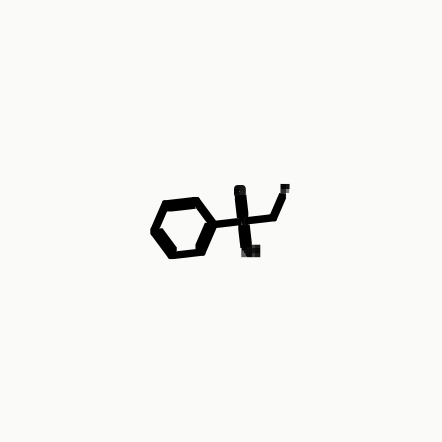 N=S(=O)(CF)c1ccccc1